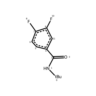 CC(C)(C)NC(=O)c1ccc(F)c(F)c1